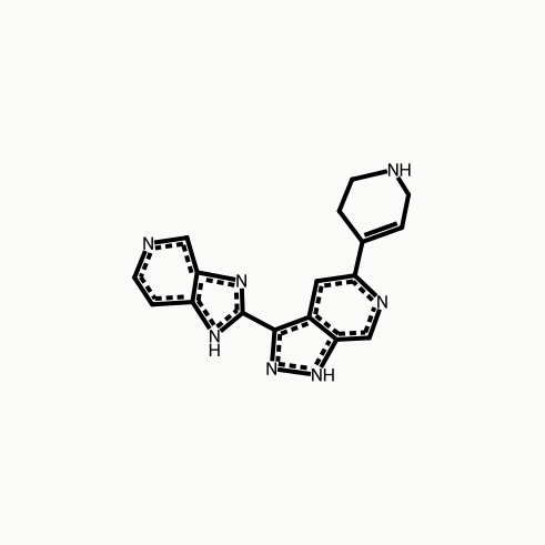 C1=C(c2cc3c(-c4nc5cnccc5[nH]4)n[nH]c3cn2)CCNC1